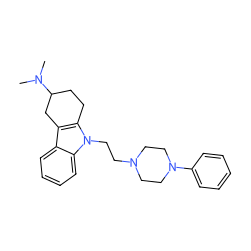 CN(C)C1CCc2c(c3ccccc3n2CCN2CCN(c3ccccc3)CC2)C1